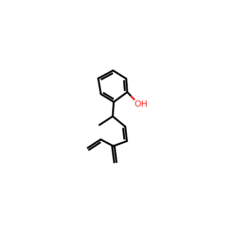 C=CC(=C)/C=C\C(C)c1ccccc1O